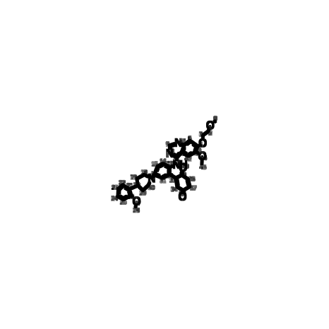 COCCOc1cc2ncnc(Nc3ccc(N4CCC(c5ccccc5OC)CC4)cc3C3=CC(=O)C=CC3=O)c2cc1OC